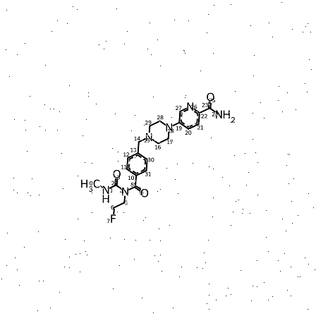 CNC(=O)N(CCF)C(=O)c1ccc(CN2CCN(c3ccc(C(N)=O)nc3)CC2)cc1